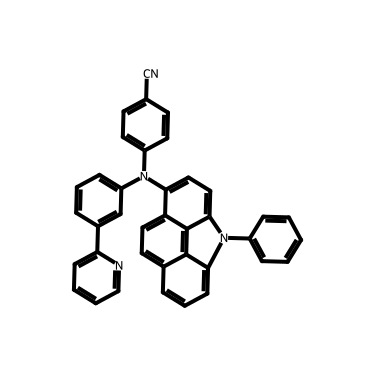 N#Cc1ccc(N(c2cccc(-c3ccccn3)c2)c2ccc3c4c2ccc2cccc(c24)n3-c2ccccc2)cc1